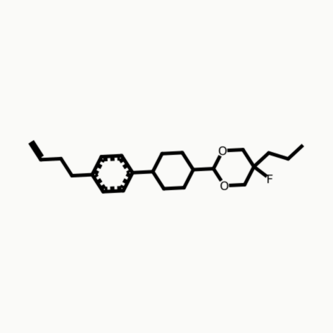 C=CCCc1ccc(C2CCC(C3OCC(F)(CCC)CO3)CC2)cc1